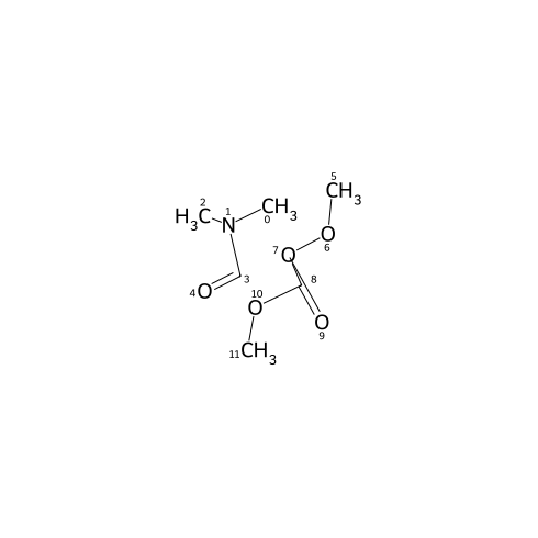 CN(C)C=O.COOC(=O)OC